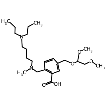 CCCN(CCC)CCCCN(C)Cc1ccc(COC(COC)OC)cc1C(=O)O